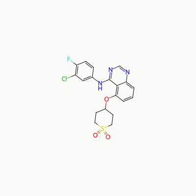 O=S1(=O)CCC(Oc2cccc3ncnc(Nc4ccc(F)c(Cl)c4)c23)CC1